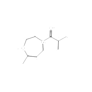 CC1CCN(C(=O)C(C)C)CCO1